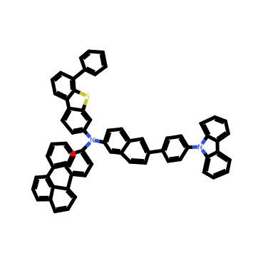 c1ccc(-c2cccc3c2sc2cc(N(c4ccc(-c5cccc6cccc(-c7ccccc7)c56)cc4)c4ccc5cc(-c6ccc(-n7c8ccccc8c8ccccc87)cc6)ccc5c4)ccc23)cc1